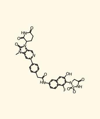 Cn1c(=O)n(C2CCC(=O)NC2=O)c2cnc(-c3ccc(CC(=O)Nc4ccc5c(F)c(N6CC(=O)NS6(=O)=O)c(O)cc5c4)cc3)cc21